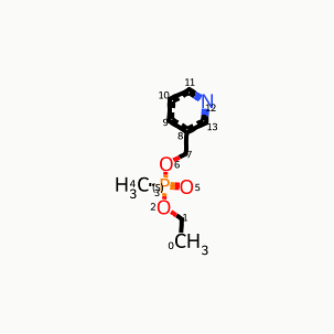 CCO[P@](C)(=O)OCc1cccnc1